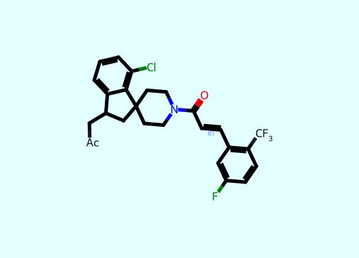 CC(=O)CC1CC2(CCN(C(=O)/C=C/c3cc(F)ccc3C(F)(F)F)CC2)c2c(Cl)cccc21